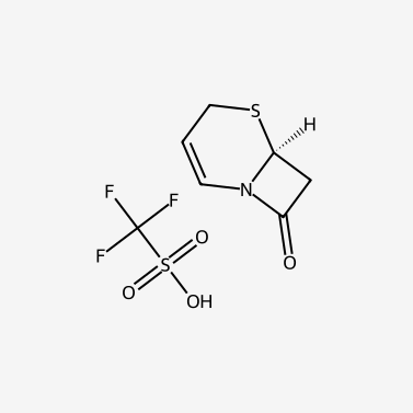 O=C1C[C@@H]2SCC=CN12.O=S(=O)(O)C(F)(F)F